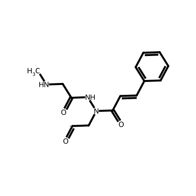 CNCC(=O)NN(C[C]=O)C(=O)C=Cc1ccccc1